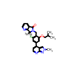 [2H]C1([2H])c2ncccc2C(=O)N1Cc1c(F)cc(-c2ccnc3nn(C)cc23)cc1OCC(C)C